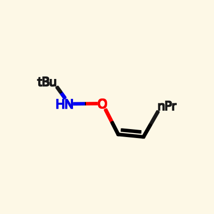 CCC/C=C\ONC(C)(C)C